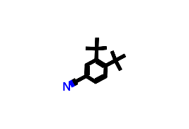 CC(C)(C)c1ccc(C#N)cc1C(C)(C)C